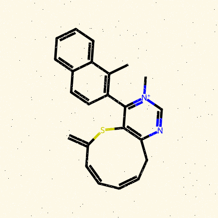 C=C1/C=C\C=C/Cc2nc[n+](C)c(-c3ccc4ccccc4c3C)c2S1